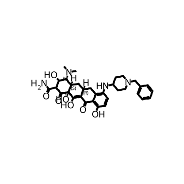 CN(C)[C@@H]1C(O)C(C(N)=O)C(=O)[C@@]2(O)C(O)=C3C(=O)c4c(O)ccc(NC5CCN(Cc6ccccc6)CC5)c4C[C@H]3C[C@@H]12